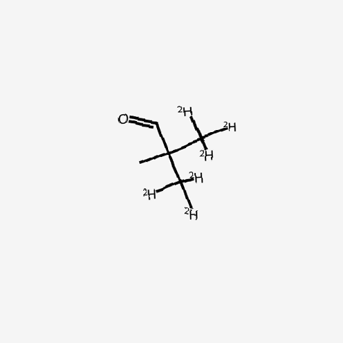 [2H]C([2H])([2H])C(C)(C=O)C([2H])([2H])[2H]